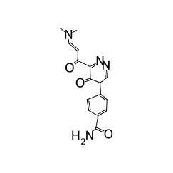 CN(C)C=CC(=O)C1=NN=CC(c2ccc(C(N)=O)cc2)C1=O